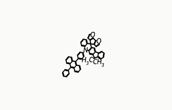 CC1(C)c2ccccc2-c2cc3c(cc21)N(c1ccc(-c2c4ccccc4c(-c4ccccc4)c4ccccc24)cc1)c1ccccc1C31c2ccoc2-c2occc21